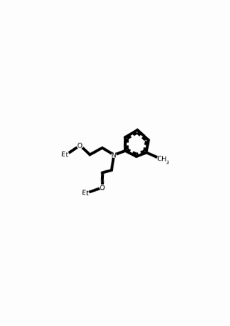 CCOCCN(CCOCC)c1cccc(C)c1